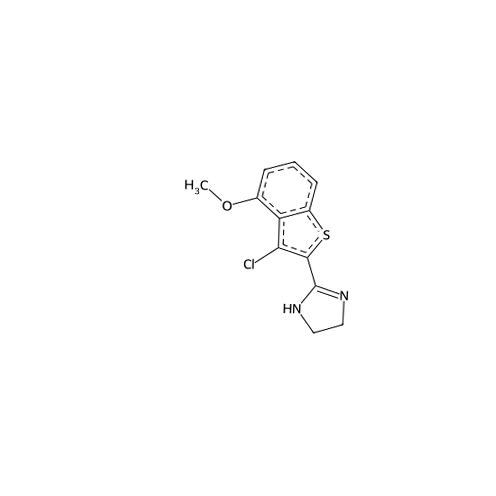 COc1cccc2sc(C3=NCCN3)c(Cl)c12